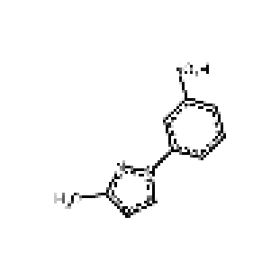 Cc1ccn(-c2cccc(S(=O)(=O)O)c2)n1